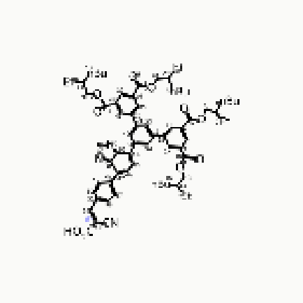 CCCCC(CC)COC(=O)c1cc(C(=O)OCC(CC)CCCC)cc(-c2cc(-c3cc(C(=O)OCC(CC)CCCC)cc(C(=O)OCC(CC)CCCC)c3)cc(-c3ccc(-c4ccc(/C=C(\C#N)C(=O)O)cc4)c4nsnc34)c2)c1